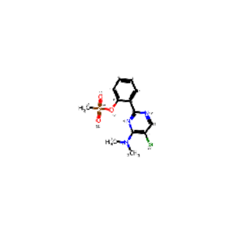 CN(C)c1nc(-c2ccccc2OS(C)(=O)=O)ncc1Br